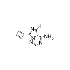 Nc1ncnn2c(C3=CC=C3)nc(I)c12